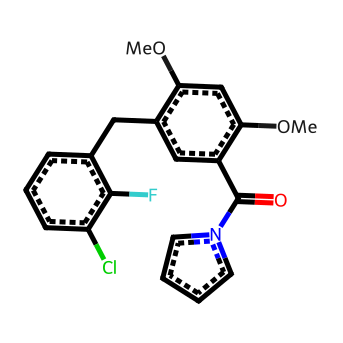 COc1cc(OC)c(C(=O)n2cccc2)cc1Cc1cccc(Cl)c1F